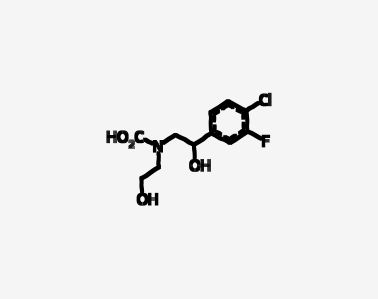 O=C(O)N(CCO)CC(O)c1ccc(Cl)c(F)c1